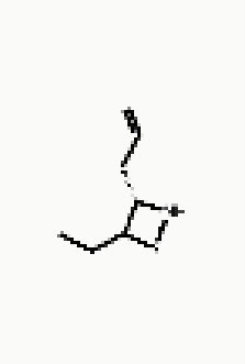 C=CC[C@@H]1NSC1CC